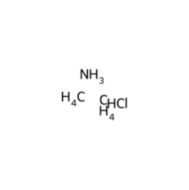 C.C.Cl.N